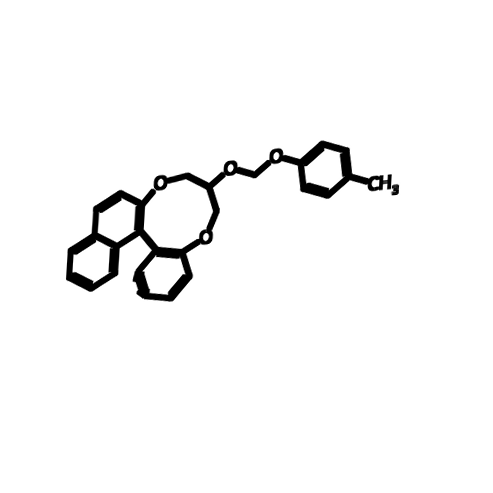 Cc1ccc(OCOC2COc3ccc4ccccc4c3-c3c(ccc4ccccc34)OC2)cc1